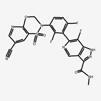 CNC(=O)c1n[nH]c2c(F)c(-c3c(F)ccc(N4COc5ncc(C#N)cc5S4(=O)=O)c3F)ncc12